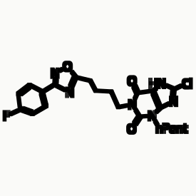 CCCCCn1c(=O)n(CCCCc2nc(-c3ccc(F)cc3)no2)c(=O)c2[nH]c(Cl)nc21